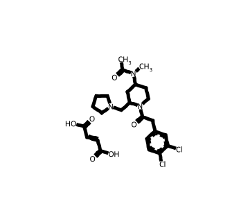 CC(=O)N(C)C1CCN(C(=O)Cc2ccc(Cl)c(Cl)c2)C(CN2CCCC2)C1.O=C(O)C=CC(=O)O